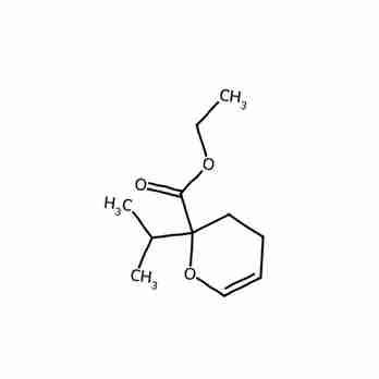 CCOC(=O)C1(C(C)C)CCC=CO1